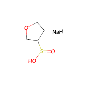 O=S(O)C1CCOC1.[NaH]